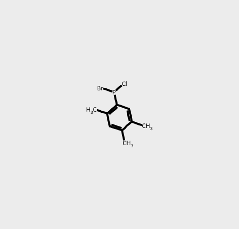 Cc1cc(C)c(P(Cl)Br)cc1C